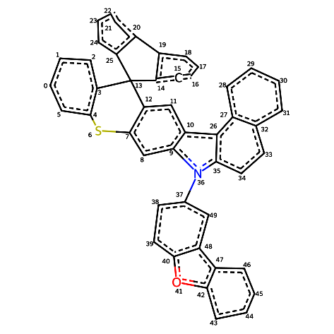 c1ccc2c(c1)Sc1cc3c(cc1C21c2ccccc2-c2ccccc21)c1c2ccccc2ccc1n3-c1ccc2oc3ccccc3c2c1